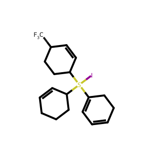 FC(F)(F)C1C=CC(S(I)(C2=CC=CCC2)C2C=CCCC2)CC1